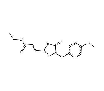 CCOC(=O)/C=C/C1CN(Cc2ccc(OC)cc2)C(=O)O1